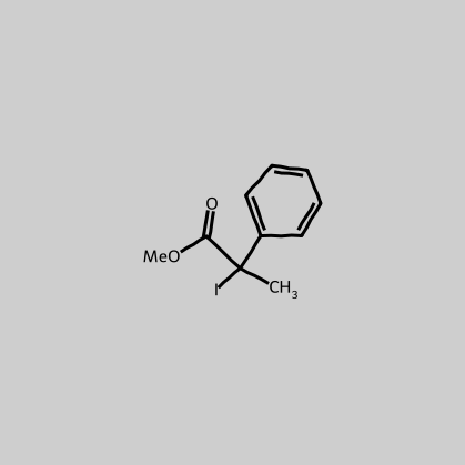 COC(=O)C(C)(I)c1ccccc1